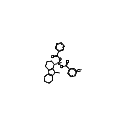 CC1C2=C(CCCC2)C2=C1[CH]([Ti+]([O]C(=O)c1ccccc1)[O]C(=O)c1ccccc1)CCC2.[Cl-]